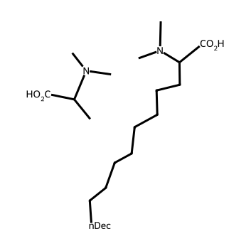 CC(C(=O)O)N(C)C.CCCCCCCCCCCCCCCCCCC(C(=O)O)N(C)C